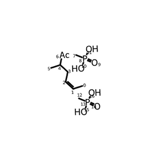 C/C=C\CC(C)C(C)=O.CP(=O)(O)O.CP(=O)(O)O